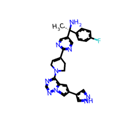 C[C@](N)(c1ccc(F)cc1)c1cnc(C2=CCN(c3ncnn4cc(-c5cn[nH]c5)cc34)CC2)nc1